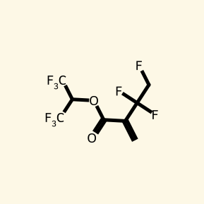 C=C(C(=O)OC(C(F)(F)F)C(F)(F)F)C(F)(F)CF